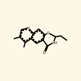 CCC1NC(=O)c2cc3c(C)c(C)cnc3cc2O1